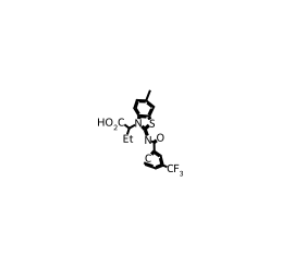 CCC(C(=O)O)n1/c(=N/C(=O)c2cccc(C(F)(F)F)c2)sc2cc(C)ccc21